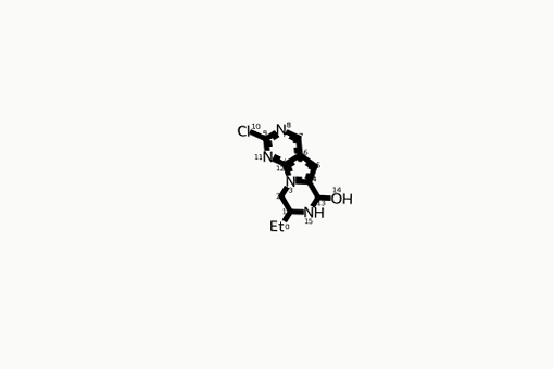 CCC1Cn2c(cc3cnc(Cl)nc32)C(O)N1